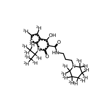 [2H]c1sc2c(c1[2H])c(O)c(C(=O)NCCCN1C([2H])([2H])C([2H])([2H])C([2H])([2H])C([2H])([2H])C1([2H])[2H])c(=O)n2C([2H])(C([2H])([2H])[2H])C([2H])([2H])[2H]